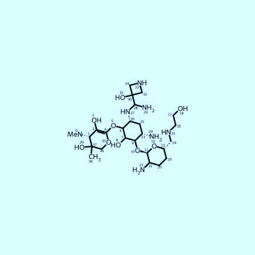 CN[C@@H]1C(O)=C(OC2C(O)C(O[C@H]3O[C@H](CNCCO)CCC3N)[C@@H](N)C[C@H]2NC(N)C2(O)CNC2)OCC1(C)O